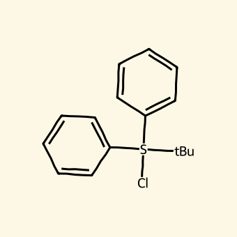 CC(C)(C)S(Cl)(c1ccccc1)c1ccccc1